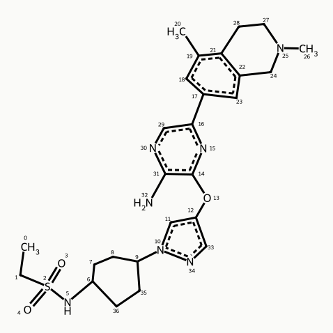 CCS(=O)(=O)NC1CCC(n2cc(Oc3nc(-c4cc(C)c5c(c4)CN(C)CC5)cnc3N)cn2)CC1